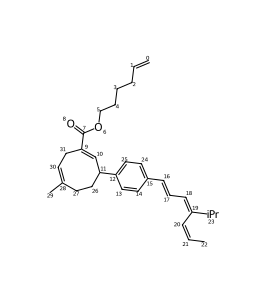 C=CCCCCOC(=O)/C1=C/C(c2ccc(/C=C/C=C(\C=C/C)C(C)C)cc2)CC/C(C)=C\C1